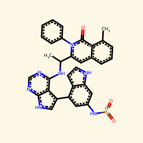 Cc1cccc2cc(C(C)Nc3ncnc4[nH]cc(-c5cc(N[SH](=O)=O)cc6[nH]ccc56)c34)n(-c3ccccc3)c(=O)c12